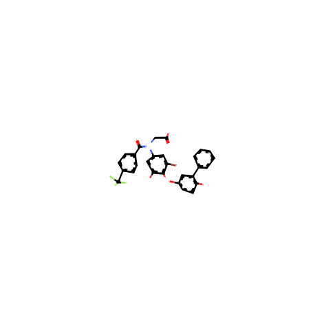 O=C(O)CN(C(=O)c1ccc(C(F)(F)F)cc1)c1cc(Br)c(Oc2ccc(O)c(-c3ccccc3)c2)c(Br)c1